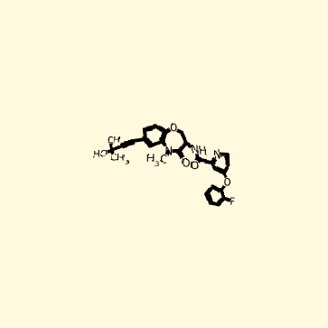 CN1C(=O)C(NC(=O)c2cc(Oc3ccccc3F)ccn2)COc2ccc(C#CC(C)(C)O)cc21